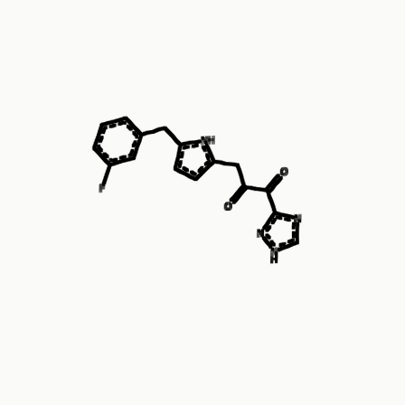 O=C(Cc1ccc(Cc2cccc(F)c2)[nH]1)C(=O)c1nc[nH]n1